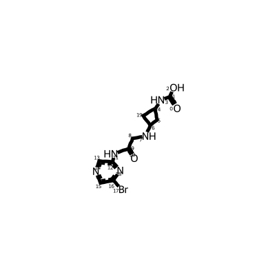 O=C(O)NC1CC(NCC(=O)Nc2cncc(Br)n2)C1